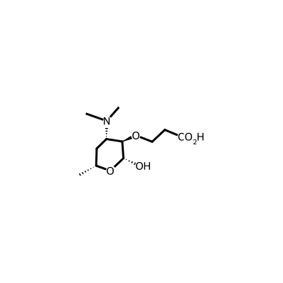 C[C@@H]1C[C@H](N(C)C)[C@@H](OCCC(=O)O)[C@H](O)O1